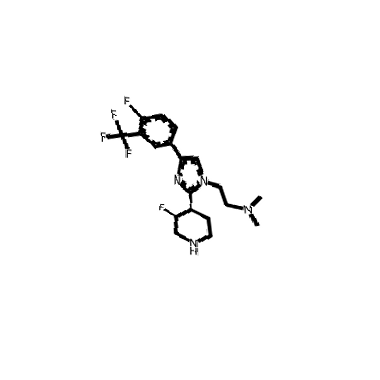 CN(C)CCn1cc(-c2ccc(F)c(C(F)(F)F)c2)nc1[C@H]1CCNC[C@H]1F